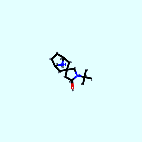 CC(C)(C)N1CC2(CC1=O)CC1CCC(C2)N1